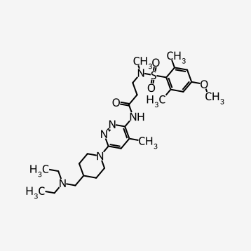 CCN(CC)CC1CCN(c2cc(C)c(NC(=O)CCN(C)S(=O)(=O)c3c(C)cc(OC)cc3C)nn2)CC1